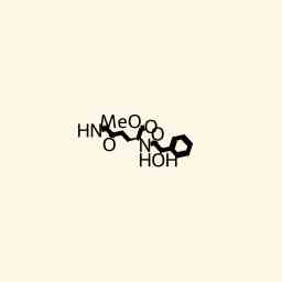 COC(=O)[C@H](CCC(=O)C=N)NC(=O)[C@@H](O)c1ccccc1